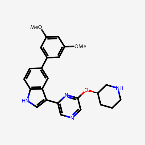 COc1cc(OC)cc(-c2ccc3[nH]cc(-c4cncc(O[C@@H]5CCCNC5)n4)c3c2)c1